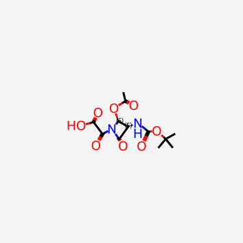 CC(=O)O[C@H]1[C@H](NC(=O)OC(C)(C)C)C(=O)N1C(=O)C(=O)O